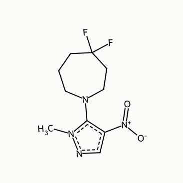 Cn1ncc([N+](=O)[O-])c1N1CCCC(F)(F)CC1